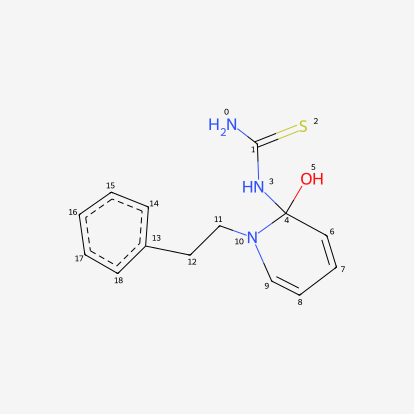 NC(=S)NC1(O)C=CC=CN1CCc1ccccc1